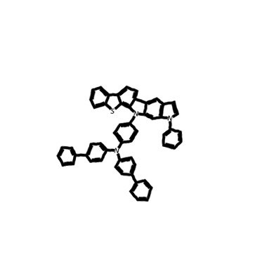 c1ccc(-c2ccc(N(c3ccc(-c4ccccc4)cc3)c3ccc(-n4c5cc6c(ccn6-c6ccccc6)cc5c5ccc6c7ccccc7sc6c54)cc3)cc2)cc1